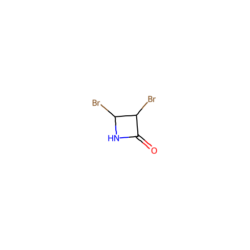 O=C1NC(Br)C1Br